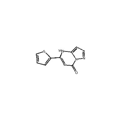 O=c1cc(-c2cccs2)[nH]c2ccnn12